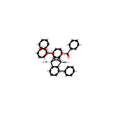 O=C(OC1C(OC(=O)c2ccccc2)[C@H]2c3cccc(-c4ccccc4)c3[C@H]1c1cccc(-c3ccccc3)c12)c1ccccc1